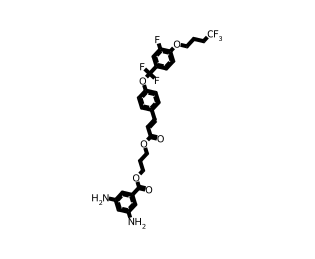 Nc1cc(N)cc(C(=O)OCCCOC(=O)C=Cc2ccc(OC(F)(F)c3ccc(OCCCC(F)(F)F)c(F)c3)cc2)c1